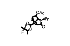 CC(=O)OC1C2CC3C(C(=O)N(C(C)C)C31)C2C(=O)OC(C)C(C)(F)F